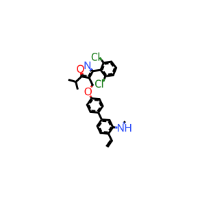 C=Cc1ccc(-c2ccc(OCc3c(-c4c(Cl)cccc4Cl)noc3C(C)C)cc2)cc1NC